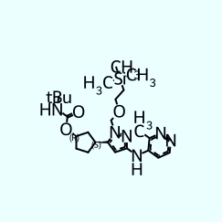 Cc1nnccc1Nc1cc([C@H]2CC[C@@H](OC(=O)NC(C)(C)C)C2)n(COCC[Si](C)(C)C)n1